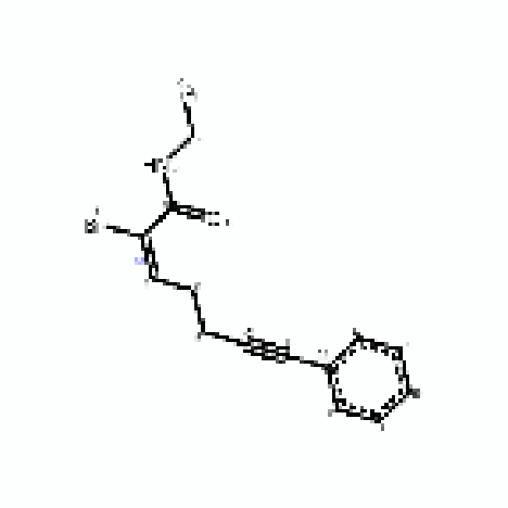 CC(C)CNC(=O)/C(Br)=C\CCC#Cc1ccccc1